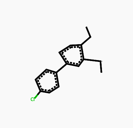 C[CH]c1cc(-c2ccc(Cl)cc2)ccc1CC